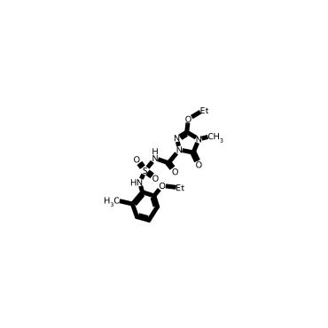 CCOc1cccc(C)c1NS(=O)(=O)NC(=O)n1nc(OCC)n(C)c1=O